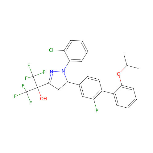 CC(C)Oc1ccccc1-c1ccc(C2CC(C(O)(C(F)(F)F)C(F)(F)F)=NN2c2ccccc2Cl)cc1F